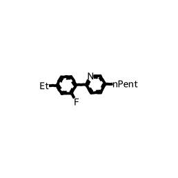 CCCCCc1ccc(-c2ccc(CC)cc2F)nc1